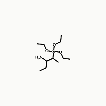 CCO[Si](OCC)(OCC)C(C)C(N)CC